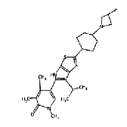 Cc1c(-c2[nH]c3sc(C4CCC(N5CC(F)C5)CC4)nc3c2C(C)C)cn(C)c(=O)c1C